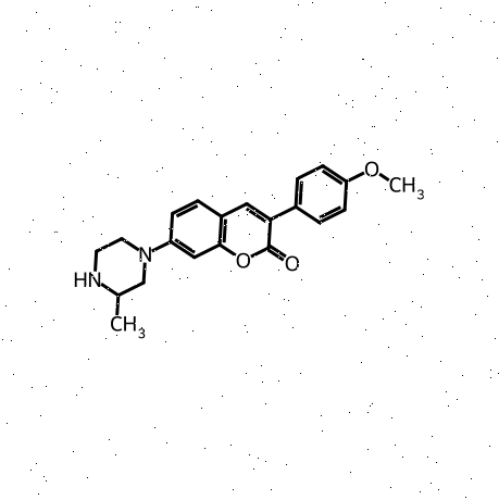 COc1ccc(-c2cc3ccc(N4CCNC(C)C4)cc3oc2=O)cc1